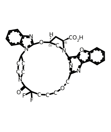 O=C(O)[C@@H]1C[C@H]2CN1c1nc(nc3c1oc1ccccc13)COCCCC(F)(F)C(=O)N1CCC(CC1)n1c(nc3ccccc31)O2